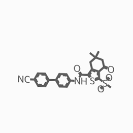 CC1(C)CC(=O)c2c(S(C)(=O)=O)sc(C(=O)Nc3ccc(-c4ccc(C#N)cc4)cc3)c2C1